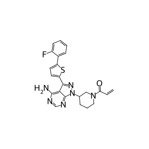 C=CC(=O)N1CCCC(n2nc(-c3ccc(-c4ccccc4F)s3)c3c(N)ncnc32)C1